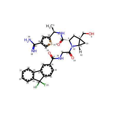 C[C@@H](NC(=O)[C@@H]1C[C@]2(CO)C[C@@H]2N1C(=O)CNC(=O)c1ccc2c(c1)-c1ccccc1C2(F)F)c1cc(C(=N)N)cs1